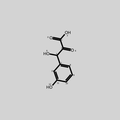 O=C(O)C(=O)C(O)c1cccc(O)c1